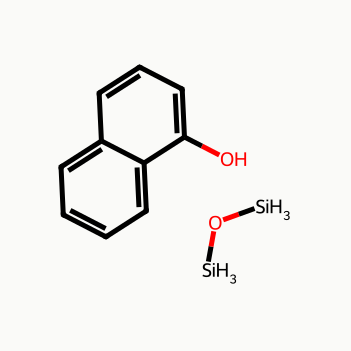 Oc1cccc2ccccc12.[SiH3]O[SiH3]